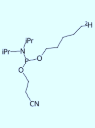 [2H]CCCCCOP(OCCC#N)N(C(C)C)C(C)C